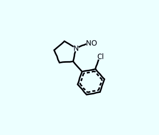 O=NN1CCCC1c1ccccc1Cl